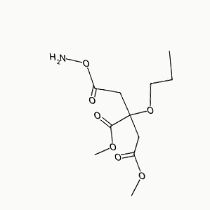 CCCOC(CC(=O)OC)(CC(=O)ON)C(=O)OC